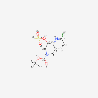 CC(C)(C)OC(=O)N1Cc2ccc(Cl)nc2C(OS(C)(=O)=O)C1